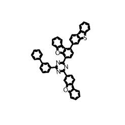 c1ccc(-c2cccc(-c3nc(-c4ccc5c(c4)oc4ccccc45)nc(-c4ccc(-c5ccc6c(c5)sc5ccccc56)c5c4oc4ccccc45)n3)c2)cc1